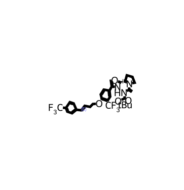 C=C(NC(=O)OC(C)(C)C)N1CCC[C@H]1c1nc(-c2ccc(OCC/C=C/c3ccc(C(F)(F)F)cc3)c(C(F)(F)F)c2)co1